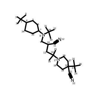 CC(C)(C)C1CCC(N(CC(C#N)CC(C)(C)N2CCC(C#N)(C(C)(C)C)CC2)C(C)(C)C)CC1